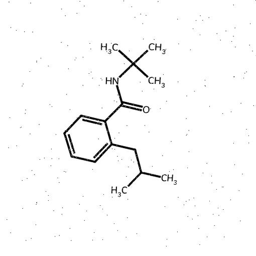 CC(C)Cc1ccccc1C(=O)NC(C)(C)C